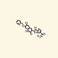 CC(Nc1ncc(C(N)=O)[nH]1)c1cc2cc(Cl)c(OCc3ccccn3)cc2[nH]c1=O